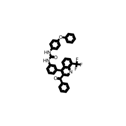 O=C(Nc1ccc(Oc2ccccc2)cc1)Nc1cccc(-c2c(C(=O)c3ccccc3)cnc3c(C(F)(F)F)cccc23)c1